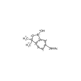 CC(=O)Nc1ccc2c(c1)B(O)OC2(C)C